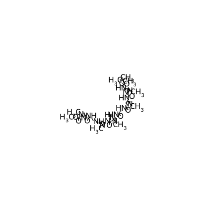 CCOC(=O)c1nc(NC(=O)CCNCc2cc(NC(=O)c3nc(NC(=O)CCNC(=O)c4cc(NC(=O)c5nc(NC(=O)OC(C)(C)C)cn5C)cn4C)cn3C)cn2C)cn1C